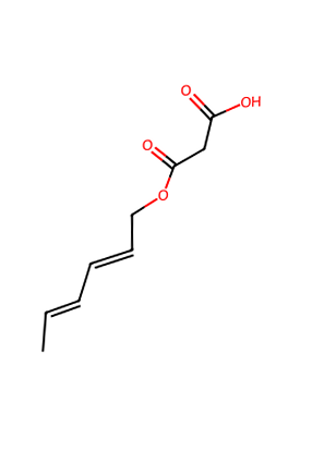 CC=CC=CCOC(=O)CC(=O)O